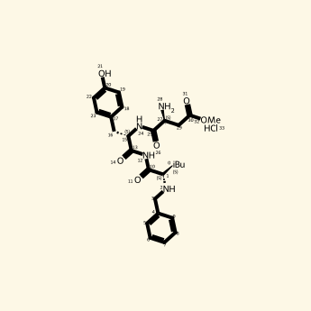 CC[C@H](C)[C@H](NCc1ccccc1)C(=O)NC(=O)[C@H](Cc1ccc(O)cc1)NC(=O)[C@@H](N)CC(=O)OC.Cl